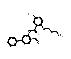 Bc1ccc(OCCCC)c(C(=O)Nc2cc(-c3ccccc3)ccc2C=O)c1